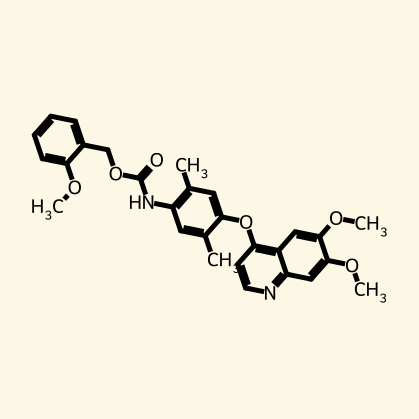 COc1ccccc1COC(=O)Nc1cc(C)c(Oc2ccnc3cc(OC)c(OC)cc23)cc1C